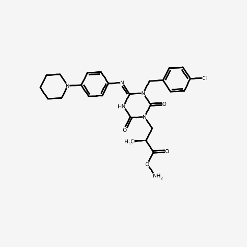 C[C@@H](Cn1c(=O)[nH]/c(=N\c2ccc(N3CCCCC3)cc2)n(Cc2ccc(Cl)cc2)c1=O)C(=O)ON